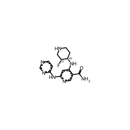 NC(=O)c1cnc(Nc2ccncn2)cc1N[C@@H]1CCNC[C@@H]1F